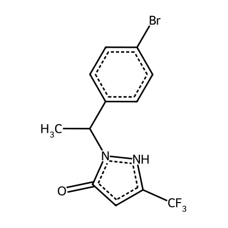 CC(c1ccc(Br)cc1)n1[nH]c(C(F)(F)F)cc1=O